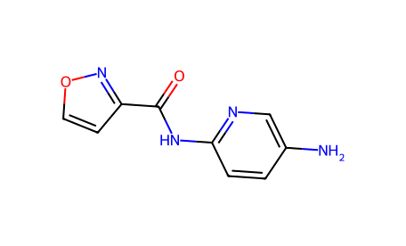 Nc1ccc(NC(=O)c2ccon2)nc1